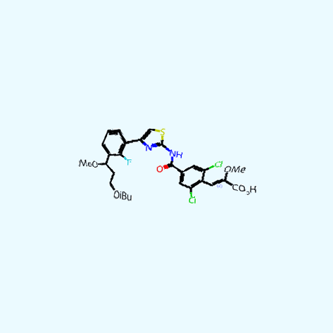 CO/C(=C\c1c(Cl)cc(C(=O)Nc2nc(-c3cccc(C(CCOCC(C)C)OC)c3F)cs2)cc1Cl)C(=O)O